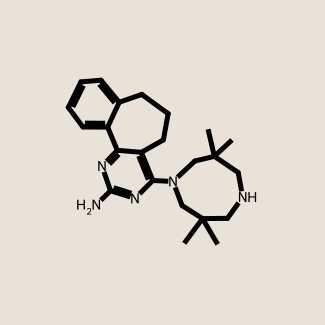 CC1(C)CNCC(C)(C)CN(c2nc(N)nc3c2CCCc2ccccc2-3)C1